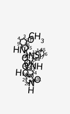 COc1cccc2[nH]c(C(=O)N3C[Si]4(CCCC4)CC3C(=O)NC(C[C@@H]3CCCNC3=O)C(=O)O)cc12